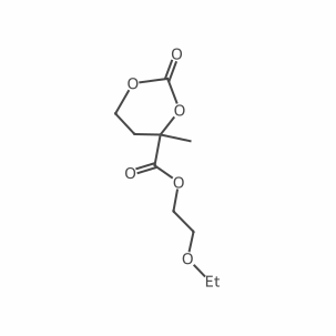 CCOCCOC(=O)C1(C)CCOC(=O)O1